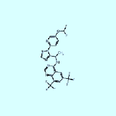 CC(Nc1ncnc2c(C(F)(F)F)cc(C(F)(F)F)cc12)c1ncnn1-c1ccc(OC(F)F)cn1